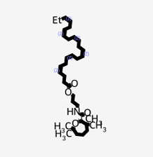 CC/C=C\C/C=C\C/C=C\C/C=C\C/C=C\C/C=C\CCC(=O)OCCCNC(=O)[C@H]1OC(C)(C)CCCC1(C)C